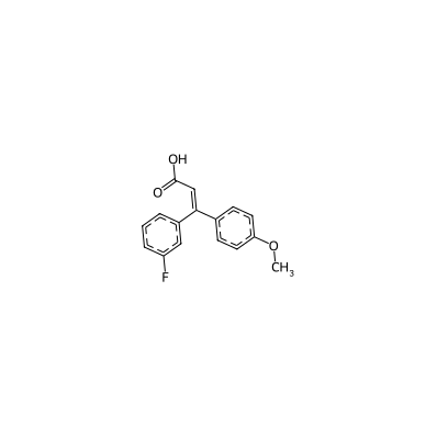 COc1ccc(C(=CC(=O)O)c2cccc(F)c2)cc1